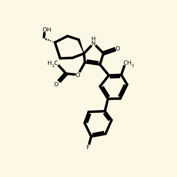 CC(=O)OC1=C(c2cc(-c3ccc(F)cc3)ccc2C)C(=O)N[C@]12CC[C@@H](CO)CC2